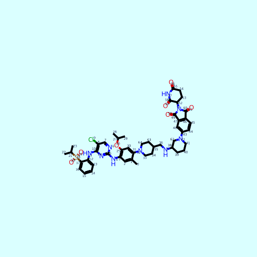 Cc1cc(Nc2ncc(Cl)c(Nc3ccccc3S(=O)(=O)C(C)C)n2)c(OC(C)C)cc1N1CCC(CNC2CCCN(c3ccc4c(c3)C(=O)N(C3CCC(=O)NC3=O)C4=O)C2)CC1